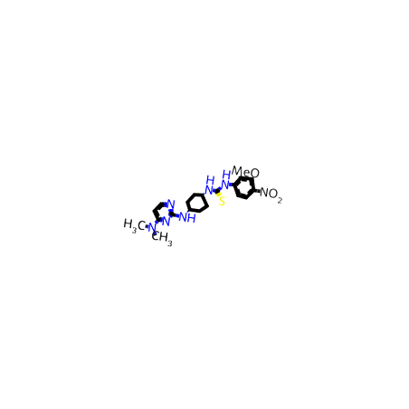 COc1cc([N+](=O)[O-])ccc1NC(=S)N[C@H]1CC[C@@H](Nc2nccc(N(C)C)n2)CC1